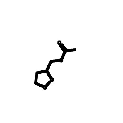 CC(=O)OCC1CCOO1